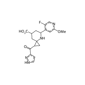 COc1cc(C2CC(C(=O)O)CC3(CC3C(=O)c3cc[nH]n3)N2)c(F)cn1